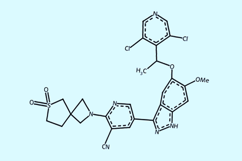 COc1cc2[nH]nc(-c3cnc(N4CC5(CCS(=O)(=O)C5)C4)c(C#N)c3)c2cc1OC(C)c1c(Cl)cncc1Cl